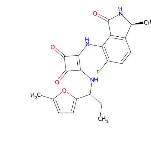 CC[C@@H](Nc1c(Nc2c(F)ccc3c2C(=O)N[C@H]3C)c(=O)c1=O)c1ccc(C)o1